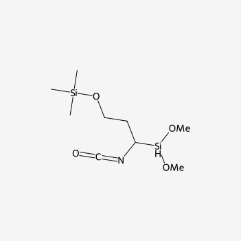 CO[SiH](OC)C(CCO[Si](C)(C)C)N=C=O